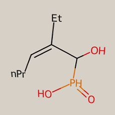 CCCC=C(CC)C(O)[PH](=O)O